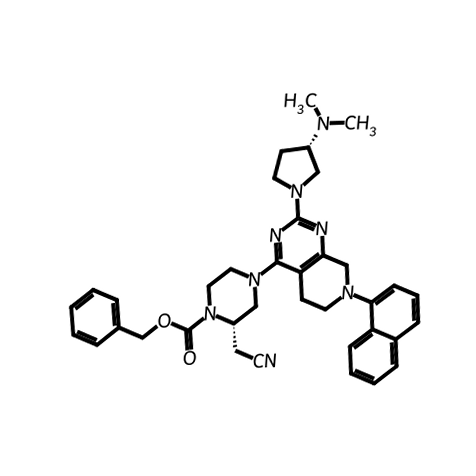 CN(C)[C@H]1CCN(c2nc3c(c(N4CCN(C(=O)OCc5ccccc5)[C@@H](CC#N)C4)n2)CCN(c2cccc4ccccc24)C3)C1